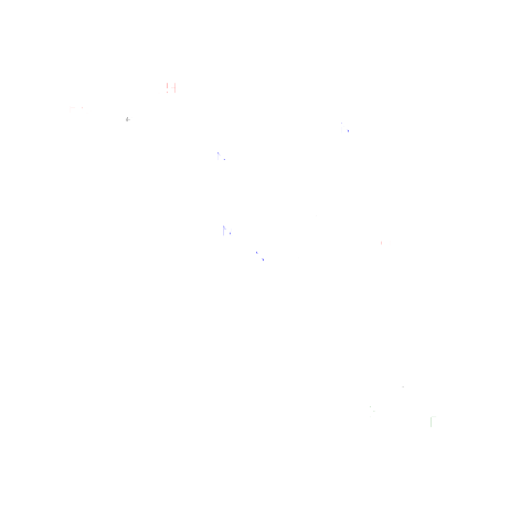 OC[C@H](O)CNc1nnc(-c2ccc(C(F)(F)F)cc2O)c2ccncc12